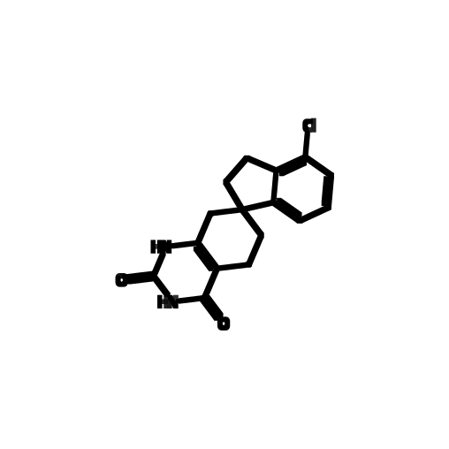 O=c1[nH]c2c(c(=O)[nH]1)CCC1(CCc3c(Cl)cccc31)C2